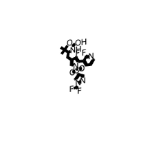 CC(C)(C)C(Cc1cn(S(=O)(=O)c2cnn(C(F)F)c2)c(-c2cccnc2F)c1F)NC(=O)O